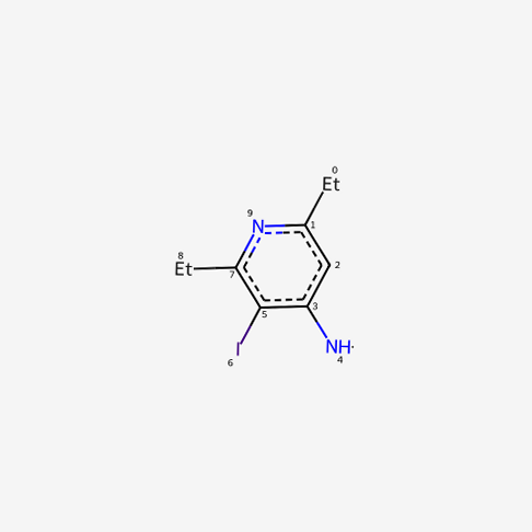 CCc1cc([NH])c(I)c(CC)n1